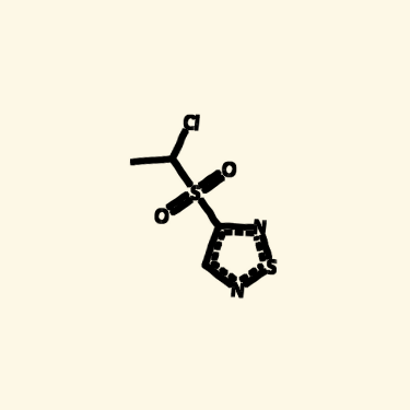 CC(Cl)S(=O)(=O)c1cnsn1